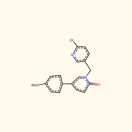 CCc1ccc(Cn2cc(-c3ccc(OC)cc3)ccc2=O)cn1